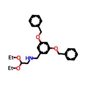 CCOC(CNCc1cc(OCc2ccccc2)cc(OCc2ccccc2)c1)OCC